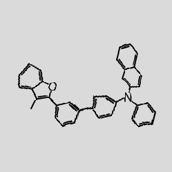 Cc1c(-c2cccc(-c3ccc(N(c4ccccc4)c4ccc5ccccc5c4)cc3)c2)oc2ccccc12